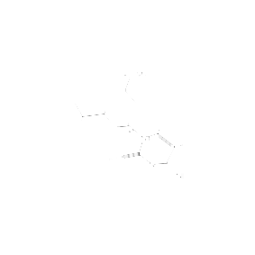 COCC[C@@H](OCCO)N1C=CC(N)NC1=O